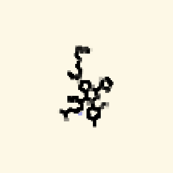 C=CN(CCCCNC)[C@H]1CC2=C(C(=N)/C=C\CC(C)F)[C@H](c3ccc(C)cc3Cl)N=C(c3nccs3)N2C1